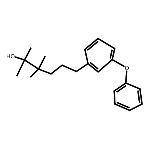 CC(C)(O)C(C)(C)CCCc1cccc(Oc2ccccc2)c1